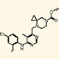 CCc1ccc(Nc2ncnc(CN3CCN(C(=O)OC(C)C)CC34CC4)c2C)c(F)c1